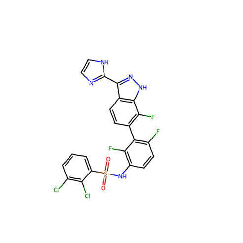 O=S(=O)(Nc1ccc(F)c(-c2ccc3c(-c4ncc[nH]4)n[nH]c3c2F)c1F)c1cccc(Cl)c1Cl